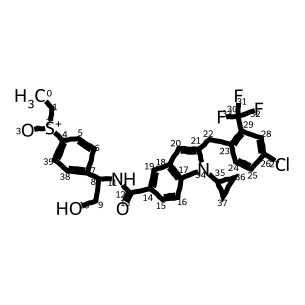 CC[S+]([O-])c1ccc(C(CO)NC(=O)c2ccc3c(c2)cc(Cc2ccc(Cl)cc2C(F)(F)F)n3C2CC2)cc1